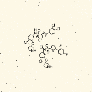 C[C@@]1(Oc2cc(N(Cl)S(=O)(=O)c3ccc(-c4ccc(F)cc4F)s3)ccc2Cl)CCNC1.C[C@@]1(Oc2cc(NS(=O)(=O)c3sc(-c4ccc(Cl)c(Cl)c4)cc3Cl)ccc2Cl)CCNC1